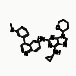 CSc1cccc(-c2ccnc3ccc(Nc4nc(NC5CC5)c5ncn(C6CCCCO6)c5n4)cc23)c1